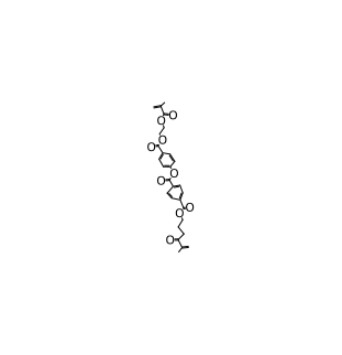 C=C(C)C(=O)CCCOC(=O)c1ccc(C(=O)Oc2ccc(C(=O)OCCOC(=O)C(=C)C)cc2)cc1